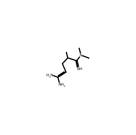 CC(CC=C(N)N)C(=N)N(C)C